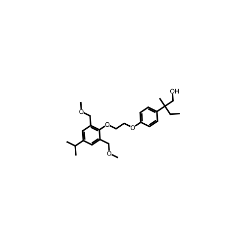 CCC(C)(CO)c1ccc(OCCOc2c(COC)cc(C(C)C)cc2COC)cc1